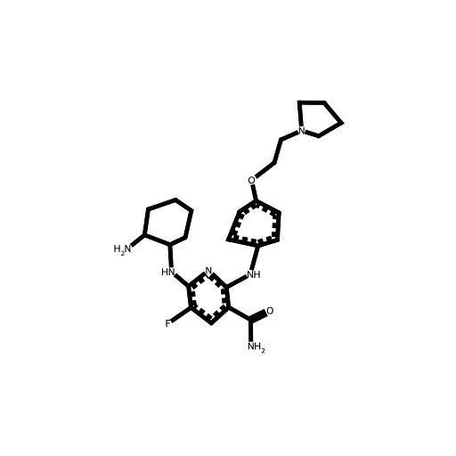 NC(=O)c1cc(F)c(NC2CCCCC2N)nc1Nc1ccc(OCCN2CCCC2)cc1